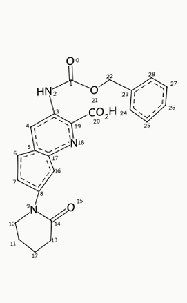 O=C(Nc1cc2ccc(N3CCCCC3=O)cc2nc1C(=O)O)OCc1ccccc1